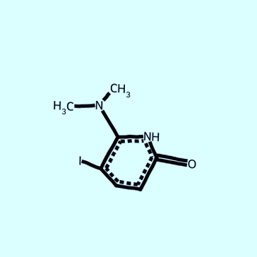 CN(C)c1[nH]c(=O)ccc1I